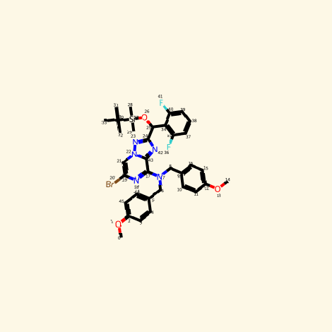 COc1ccc(CN(Cc2ccc(OC)cc2)c2nc(Br)cn3nc(C(O[Si](C)(C)C(C)(C)C)c4c(F)cccc4F)nc23)cc1